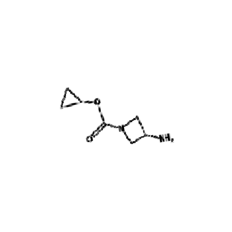 NC1CN(C(=O)OC2CC2)C1